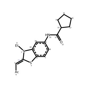 CCN1/C(=C/C(C)=O)Sc2ccc(NC(=O)C3CCCC3)cc21